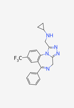 FC(F)(F)c1ccc2c(c1)C(c1ccccc1)=NCc1nnc(CNC3CC3)n1-2